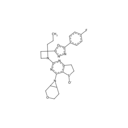 CCCC1(c2nnc(-c3ccc(F)cc3)o2)CCN1c1nc2c(c(N3C4CCOCC43)n1)[S+]([O-])CC2